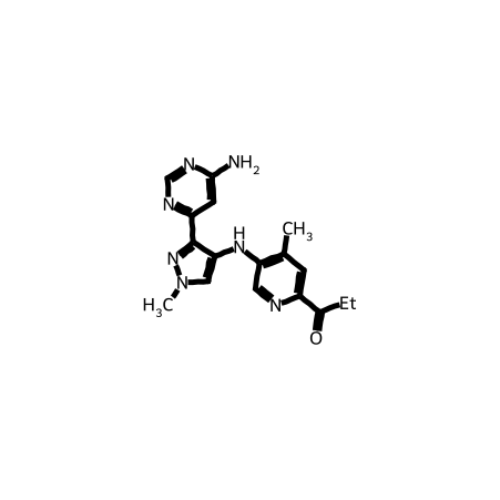 CCC(=O)c1cc(C)c(Nc2cn(C)nc2-c2cc(N)ncn2)cn1